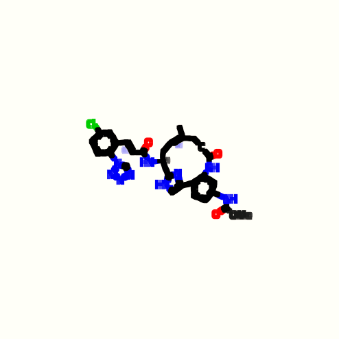 COC(=O)Nc1ccc2c(c1)NC(=O)CC/C(C)=C\C[C@H](NC(=O)/C=C/c1cc(Cl)ccc1-n1cnnn1)c1nc-2c[nH]1